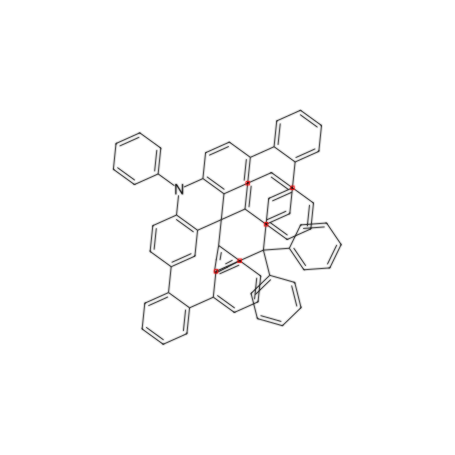 c1ccc(-c2ccccc2-c2ccc3c(c2)C2(c4cc(-c5ccccc5-c5ccccc5)ccc4N3c3ccccc3)c3ccccc3C(c3ccccc3)(c3ccccc3)c3ccccc32)cc1